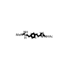 CNC(=N)NCCc1ccc(CCc2csc(NC(C)=O)n2)cc1